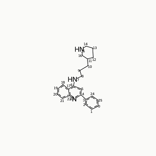 c1ccc(-c2cc(NCCCC3CCCNC3)c3ccccc3n2)cc1